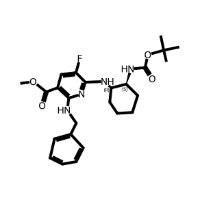 COC(=O)c1cc(F)c(N[C@@H]2CCCC[C@@H]2NC(=O)OC(C)(C)C)nc1NCc1ccccc1